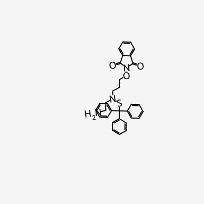 NCCN(CCCON1C(=O)c2ccccc2C1=O)SC(c1ccccc1)(c1ccccc1)c1ccccc1